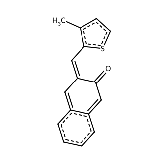 Cc1ccsc1/C=C1/C=c2ccccc2=CC1=O